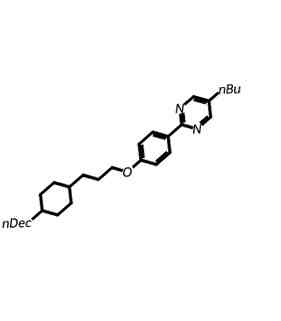 CCCCCCCCCCC1CCC(CCCOc2ccc(-c3ncc(CCCC)cn3)cc2)CC1